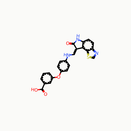 O=C1Nc2ccc3ncsc3c2C1=CNc1ccc(Oc2cccc(C(=O)O)c2)cc1